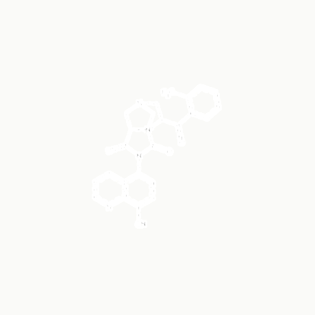 N#Cc1ccc(N2C(=O)C3CN4CC(C(=O)c5ccccc5C(F)(F)F)[N+]3(C4)C2=O)c2cccnc12